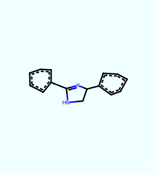 c1ccc(C2=NC(c3ccccc3)CN2)cc1